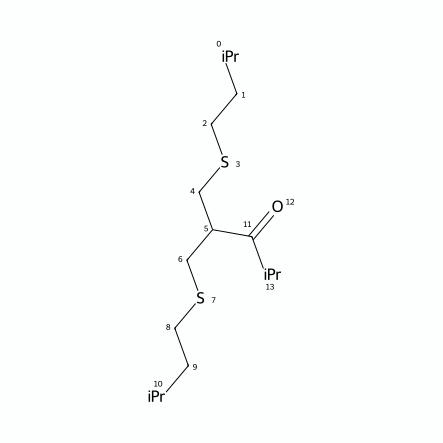 CC(C)CCSCC(CSCCC(C)C)C(=O)C(C)C